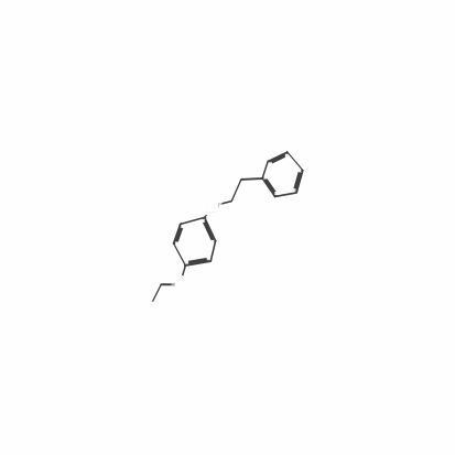 CCOc1ccc(OCCc2ccccc2)cc1